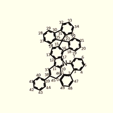 C1=C=C(c2ccccc2-n2c3c(c4ccc5c(c42)-c2ccccc2C52c4ccccc4-c4ccccc42)C=C(c2ccccc2)CC3)C=CC=1